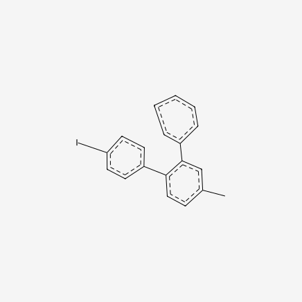 Cc1ccc(-c2ccc(I)cc2)c(-c2ccccc2)c1